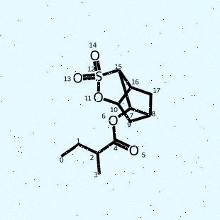 CCC(C)C(=O)OC1C2CC3OS(=O)(=O)C1C3C2